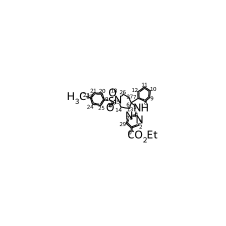 CCOC(=O)c1cnc(NC2(c3ccccc3)CCN(S(=O)(=O)c3ccc(C)cc3)CC2)nc1